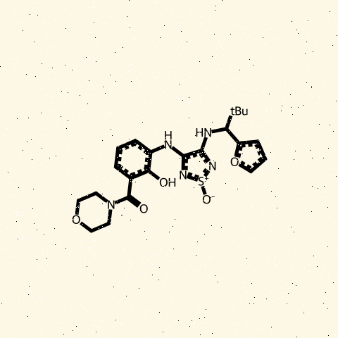 CC(C)(C)C(Nc1n[s+]([O-])nc1Nc1cccc(C(=O)N2CCOCC2)c1O)c1ccco1